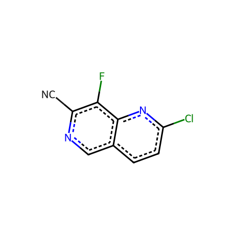 N#Cc1ncc2ccc(Cl)nc2c1F